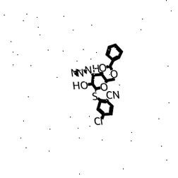 N#Cc1ccc(Cl)cc1S[C@H]1OC2COC(c3ccccc3)O[C@@H]2C(N=[N+]=[N-])C1O